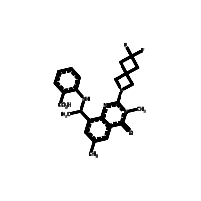 Cc1cc(C(C)Nc2ccccc2C(=O)O)c2nc(N3CC4(C3)CC(F)(F)C4)n(C)c(=O)c2c1